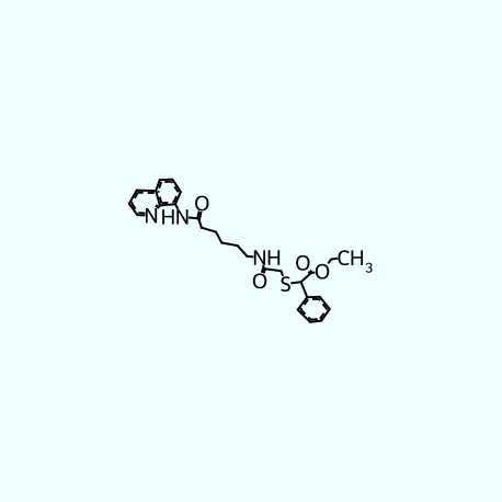 CCOC(=O)C(SCC(=O)NCCCCCC(=O)Nc1cccc2cccnc12)c1ccccc1